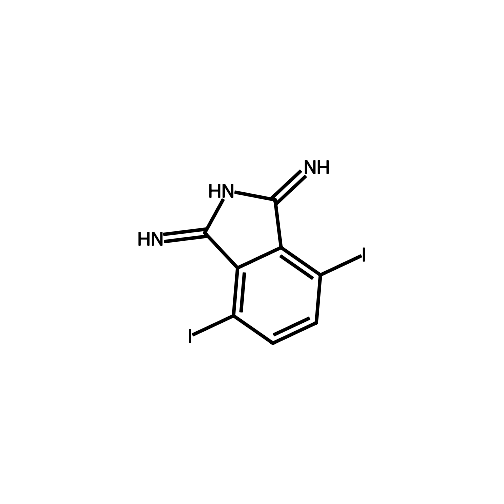 N=C1NC(=N)c2c(I)ccc(I)c21